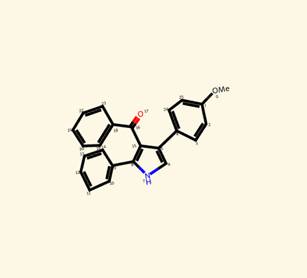 COc1ccc(-c2c[nH]c(-c3ccccc3)c2C(=O)c2ccccc2)cc1